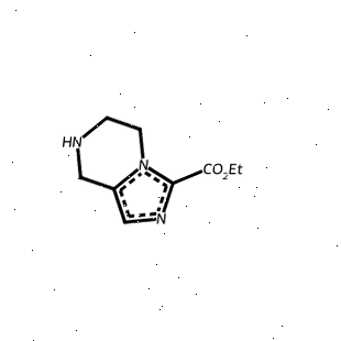 CCOC(=O)c1ncc2n1CCNC2